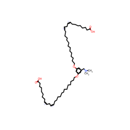 CN(C)Cc1cc(OCCCCCCCCCCCCC/C=C\C/C=C\CCCCCCCC(=O)O)cc(OCCCCCCCCCCCCC/C=C\C/C=C\CCCCCCCC(=O)O)c1